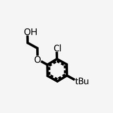 CC(C)(C)c1ccc(OCCO)c(Cl)c1